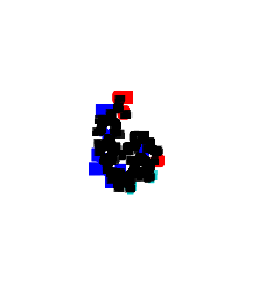 CC(C)N1CCOc2c(F)cc(-c3nc(Nc4ccc(N5CCC(NC(=O)O)CC5)cn4)ncc3F)cc21